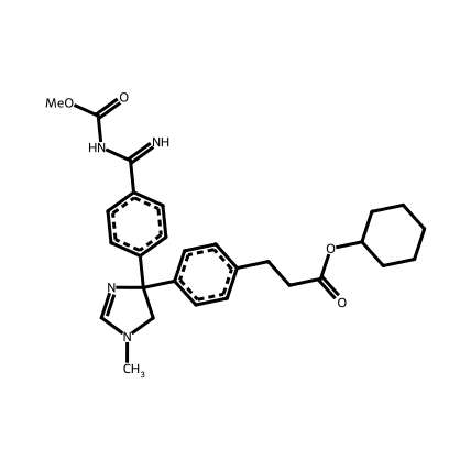 COC(=O)NC(=N)c1ccc(C2(c3ccc(CCC(=O)OC4CCCCC4)cc3)CN(C)C=N2)cc1